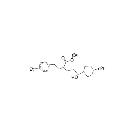 CCCC1CCC(C(O)CCC(CCc2ccc(CC)cc2)C(=O)OC(C)(C)C)CC1